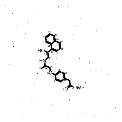 COC(=O)Cc1ccc(OCC(C)NCC(O)c2cccc3ccccc23)cc1